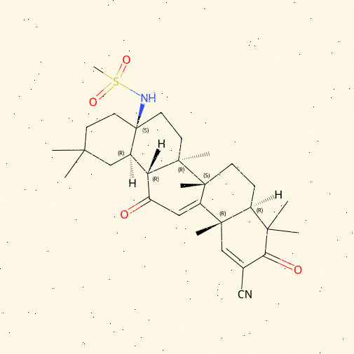 CC1(C)CC[C@]2(NS(C)(=O)=O)CC[C@]3(C)[C@H](C(=O)C=C4[C@@]5(C)C=C(C#N)C(=O)C(C)(C)[C@@H]5CC[C@]43C)[C@H]2C1